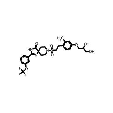 Cc1cc(OCC(O)CO)ccc1CCS(=O)(=O)N1CCC2(CC1)N=C(c1cccc(OC(F)(F)F)c1)NC2=O